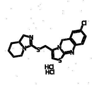 Cl.Cl.Clc1ccc2c(c1)CN1C(CSC3=NCC4CCCCN34)=CSC1=N2